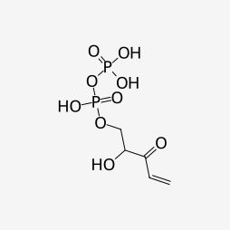 C=CC(=O)C(O)COP(=O)(O)OP(=O)(O)O